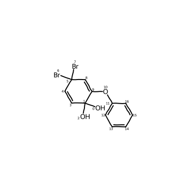 OC1(O)C=CC(Br)(Br)C=C1Oc1ccccc1